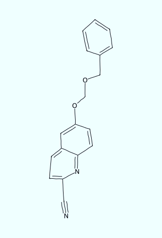 N#Cc1ccc2cc(OCOCc3ccccc3)ccc2n1